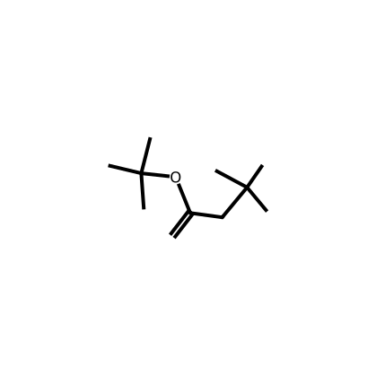 C=C(CC(C)(C)C)OC(C)(C)C